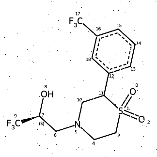 O=S1(=O)CCN(C[C@H](O)C(F)(F)F)CC1c1cccc(C(F)(F)F)c1